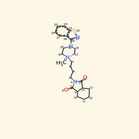 C[N+]1(CCCCN2C(=O)C3CCCCC3C2=O)CCN(c2nsc3ccccc23)CC1